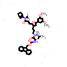 COc1cc(OC)cc(-c2cc(CCCNC(=O)[C@H](CC(C)C)NC(=O)OCC3c4ccccc4-c4ccccc43)c(/C=C3\SC(=S)N(C4CC5CCC4C5)C3=O)o2)c1